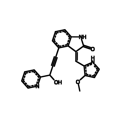 COc1cc[nH]c1C=C1C(=O)Nc2cccc(C#CC(O)c3ccccn3)c21